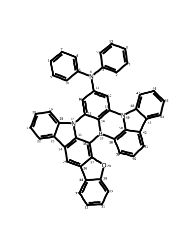 c1ccc(N(c2ccccc2)c2cc3c4c(c2)-n2c5ccccc5c5cc6c(oc7ccccc76)c(c52)B4c2cccc4c5ccccc5n-3c24)cc1